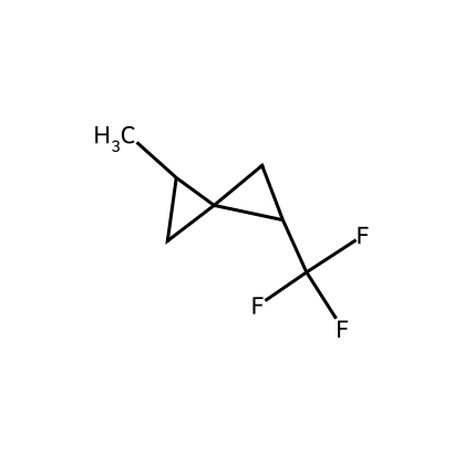 CC1CC12CC2C(F)(F)F